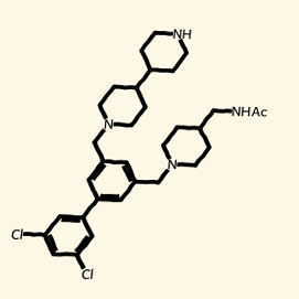 CC(=O)NCC1CCN(Cc2cc(CN3CCC(C4CCNCC4)CC3)cc(-c3cc(Cl)cc(Cl)c3)c2)CC1